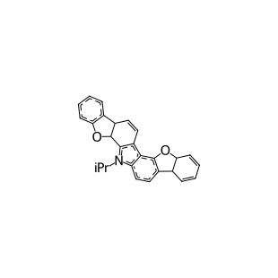 CC(C)n1c2c(c3c4c(ccc31)C1C=CC=CC1O4)C=CC1c3ccccc3OC21